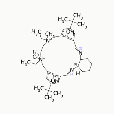 CC[N+]1(C)CC[N+](C)(CC)Cc2cc(C(C)(C)C)cc(c2O)/C=N/[C@@H]2CCCCC2/N=C/c2cc(C(C)(C)C)cc(c2O)C1